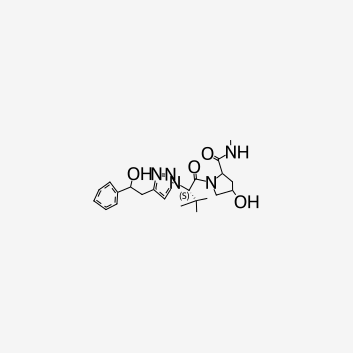 CNC(=O)C1CC(O)CN1C(=O)[C@@H](n1cc(CC(O)c2ccccc2)nn1)C(C)(C)C